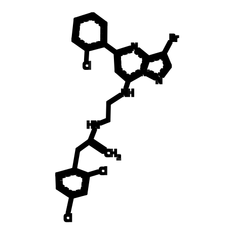 C=C(Cc1ccc(Cl)cc1Cl)NCCNc1cc(-c2ccccc2Cl)nc2c(Br)cnn12